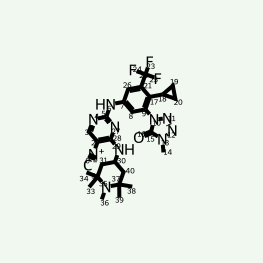 [C-]#[N+]c1cnc(Nc2cc(-n3nnn(C)c3=O)c(C3CC3)c(C(F)(F)F)c2)nc1NC1CC(C)(C)N(C)C(C)(C)C1